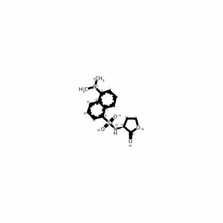 CN(C)c1cccc2c(S(=O)(=O)N[C@H]3CCOC3=O)cccc12